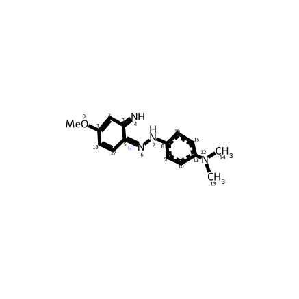 COC1=CC(=N)/C(=N\Nc2ccc(N(C)C)cc2)C=C1